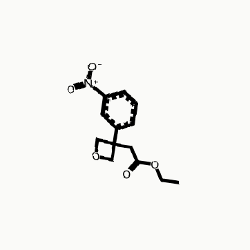 CCOC(=O)CC1(c2cccc([N+](=O)[O-])c2)COC1